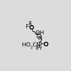 CC(C)C(C(=O)O)N1CC(CN2CCC(O)(CCCc3ccc(F)c(F)c3)CC2)C(c2ccccc2)C1